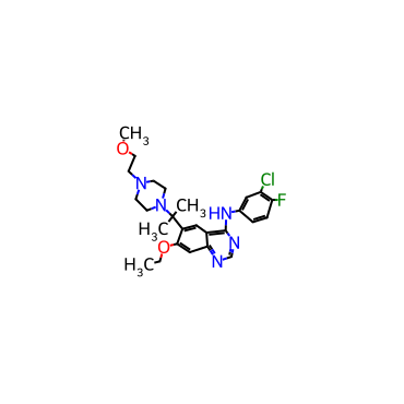 CCOc1cc2ncnc(Nc3ccc(F)c(Cl)c3)c2cc1C(C)(C)N1CCN(CCOC)CC1